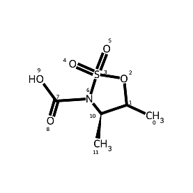 CC1OS(=O)(=O)N(C(=O)O)[C@@H]1C